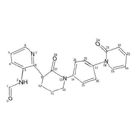 O=CNc1cccnc1C1CCCN(c2ccc(-n3ccccc3=O)cc2)C1=O